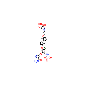 Cc1c(COc2cc(OCc3cncc(C(N)=O)c3)c(CNC(CO)C(=O)O)cc2Cl)cccc1-c1cccc(OCCCN2CCC(O)(C(=O)O)CC2)c1C